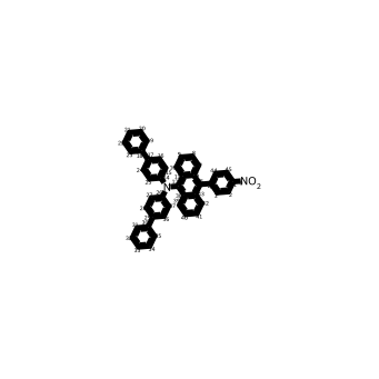 O=[N+]([O-])c1ccc(-c2c3ccccc3c(N(c3ccc(-c4ccccc4)cc3)c3ccc(-c4ccccc4)cc3)c3ccccc23)cc1